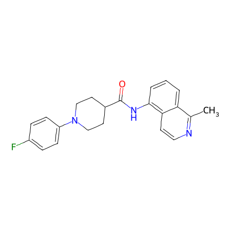 Cc1nccc2c(NC(=O)C3CCN(c4ccc(F)cc4)CC3)cccc12